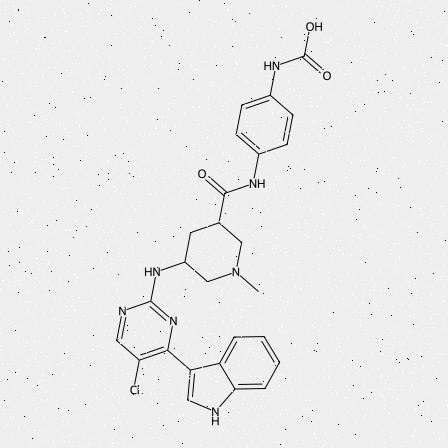 CN1CC(Nc2ncc(Cl)c(-c3c[nH]c4ccccc34)n2)CC(C(=O)Nc2ccc(NC(=O)O)cc2)C1